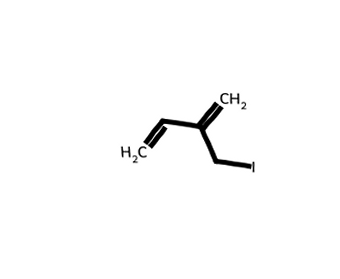 C=CC(=C)CI